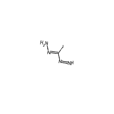 N=NC(I)=NN